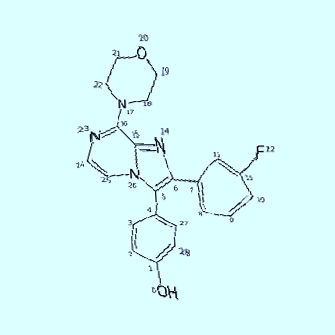 Oc1ccc(-c2c(-c3cccc(F)c3)nc3c(N4CCOCC4)nccn23)cc1